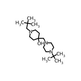 CC(C)(C)CN1CCC(O)(CN2CCN(C(C)(C)C)CC2)CC1